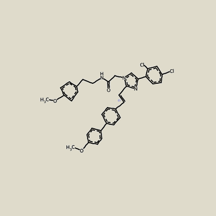 COc1ccc(CCNC(=O)Cn2cc(-c3ccc(Cl)cc3Cl)nc2/C=C/c2ccc(-c3ccc(OC)cc3)cc2)cc1